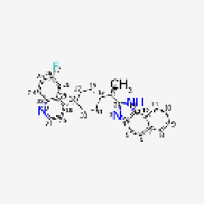 C[C@@H](c1nc2ccc3ccccc3c2[nH]1)[C@H]1CC[C@@H](c2ccnc3ccc(F)cc32)CC1